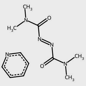 CN(C)C(=O)N=NC(=O)N(C)C.c1ccncc1